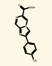 CNC(=O)c1cn2cc(-c3ccc(C#N)cc3)nc2cn1